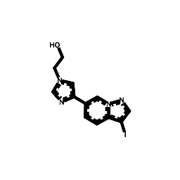 OCCn1cnc(-c2ccc3c(I)cnn3c2)c1